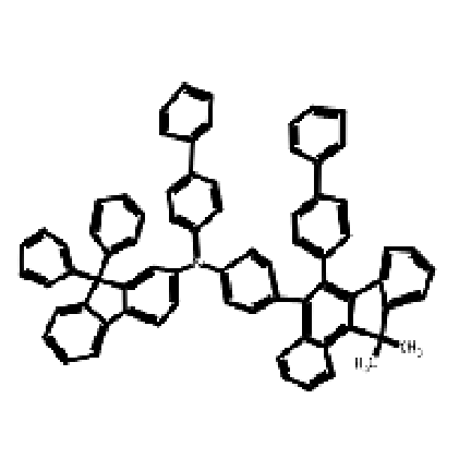 CC1(C)c2ccccc2-c2c(-c3ccc(-c4ccccc4)cc3)c(-c3ccc(N(c4ccc(-c5ccccc5)cc4)c4ccc5c(c4)C(c4ccccc4)(c4ccccc4)c4ccccc4-5)cc3)c3ccccc3c21